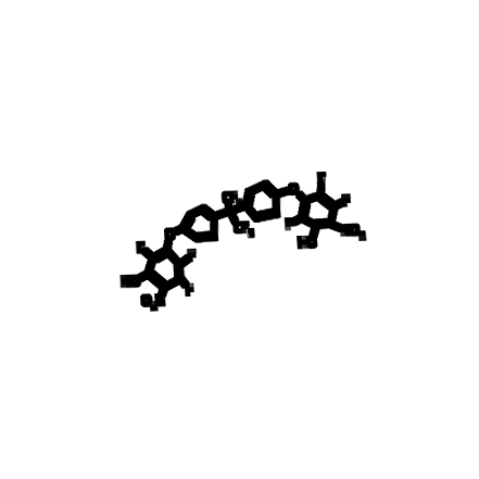 O=[N+]([O-])c1c(O)c(F)c(Oc2ccc(C(c3ccc(Oc4c(F)c(O)c([N+](=O)[O-])c(F)c4F)cc3)(C(F)(F)F)C(F)(F)F)cc2)c(F)c1F